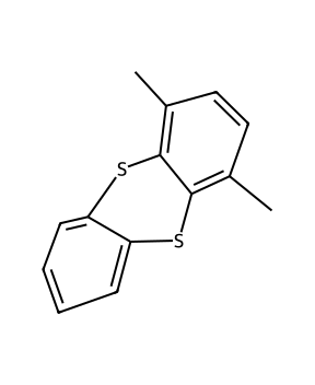 Cc1ccc(C)c2c1Sc1ccccc1S2